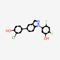 Oc1cc(-n2ncc3cc(-c4ccc(O)c(Cl)c4)ccc32)c(F)cc1F